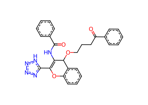 O=C(CCCOC1C(NC(=O)c2ccccc2)=C(c2nnn[nH]2)Oc2ccccc21)c1ccccc1